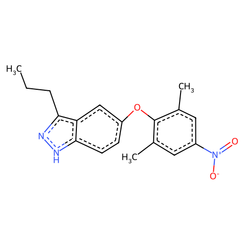 CCCc1n[nH]c2ccc(Oc3c(C)cc([N+](=O)[O-])cc3C)cc12